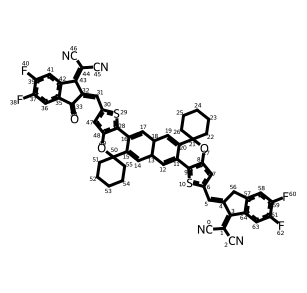 N#CC(C#N)=C1/C(=C/c2cc3c(s2)C2=CC4C=C5C(=CC4C=C2C2(CCCCC2)O3)c2sc(/C=C3\C(=O)c4cc(F)c(F)cc4C3=C(C#N)C#N)cc2OC52CCCCC2)Cc2cc(F)c(F)cc21